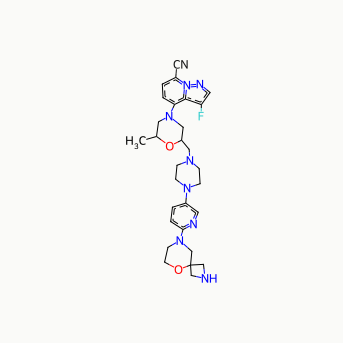 CC1CN(c2ccc(C#N)n3ncc(F)c23)CC(CN2CCN(c3ccc(N4CCOC5(CNC5)C4)nc3)CC2)O1